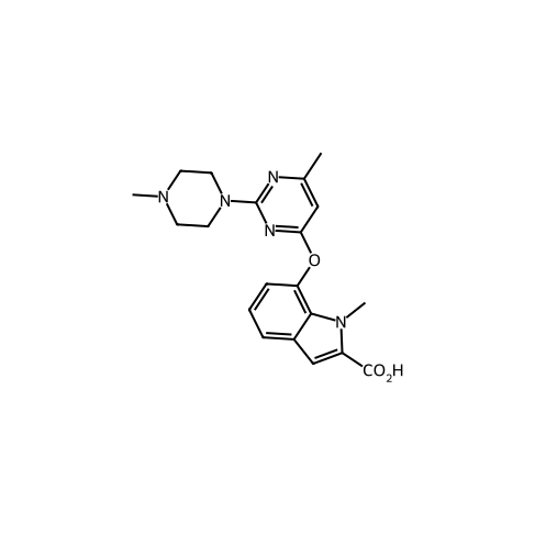 Cc1cc(Oc2cccc3cc(C(=O)O)n(C)c23)nc(N2CCN(C)CC2)n1